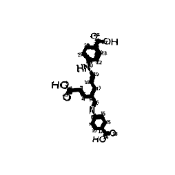 O=C(O)CCC(/C=N/c1ccc(C(=O)O)cc1)=C\C=C\Nc1ccc(C(=O)O)cc1